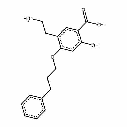 CCCc1cc(C(C)=O)c(O)cc1OCCCc1ccccc1